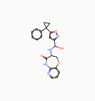 O=C1Nc2ncccc2OC[C@@H]1NC(O)c1cc(C2(c3ccccc3)CC2)on1